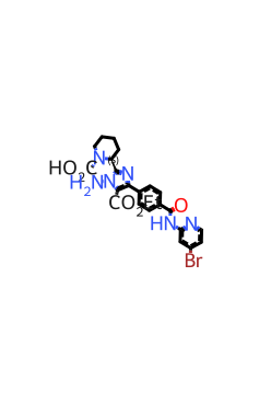 CCOC(=O)c1c(-c2ccc(C(=O)Nc3cc(Br)ccn3)cc2)nc([C@@H]2CCCCN2C(=O)O)n1N